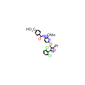 COc1nc(OCc2c(-c3c(Cl)cccc3Cl)noc2C(C)C)ccc1NC(=O)c1ccc(C(=O)O)cc1